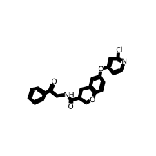 O=C(CNC(=O)C1COc2ccc(Oc3ccnc(Cl)c3)cc2C1)c1ccccc1